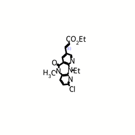 CCOC(=O)/C=C/c1cnc2c(c1)C(=O)N(C)c1ccc(Cl)nc1N2CC